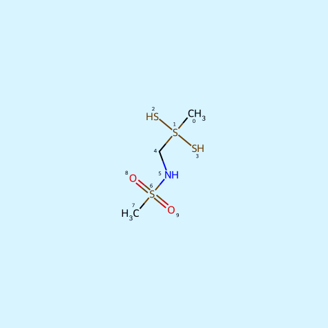 CS(S)(S)CNS(C)(=O)=O